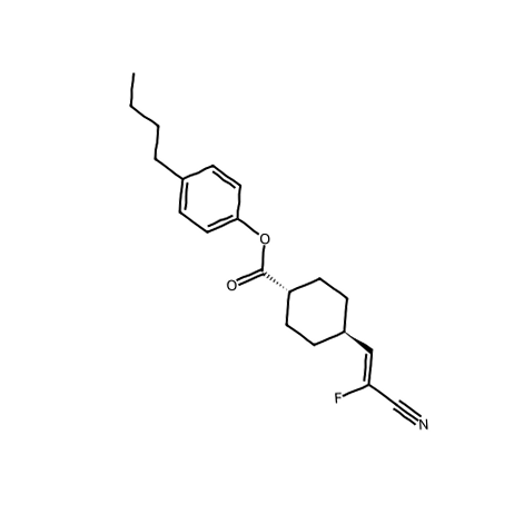 CCCCc1ccc(OC(=O)[C@H]2CC[C@H](C=C(F)C#N)CC2)cc1